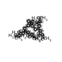 CC(C)c1ccc2c(c1)C(C)(C)c1cc(N(c3cccc(C4=CC=C(C(c5ccccc5)(c5ccccc5)c5ccc(-c6cccc(N(c7ccc8c(c7)C(C)(C)c7cc(C(C)C)ccc7-8)c7ccc8c(c7)C(C)(C)c7cc(C(C)C)ccc7-8)c6)cc5)CC4)c3)c3ccc4c(c3)C(C)(C)c3cc(C(C)C)ccc3-4)ccc1-2